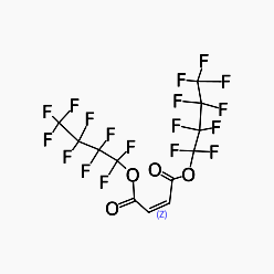 O=C(/C=C\C(=O)OC(F)(F)C(F)(F)C(F)(F)C(F)(F)F)OC(F)(F)C(F)(F)C(F)(F)C(F)(F)F